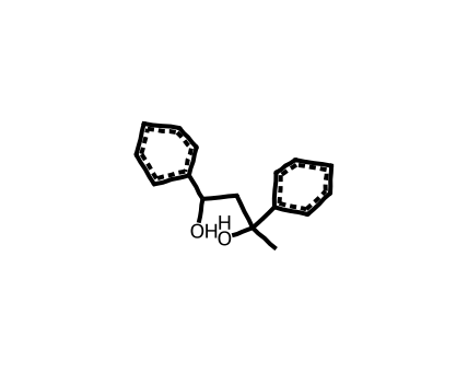 CC(O)(CC(O)c1ccccc1)c1ccccc1